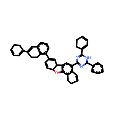 C1=CCCC(C2=Cc3cccc(C4=CC5c6cc(C7=NC(c8ccccc8)NC(C8=CC=CCC8)=N7)c7c(c6OC5C=C4)CCC=C7)c3CC2)=C1